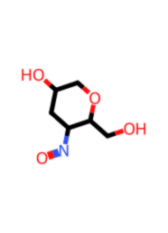 O=NC1CC(O)COC1CO